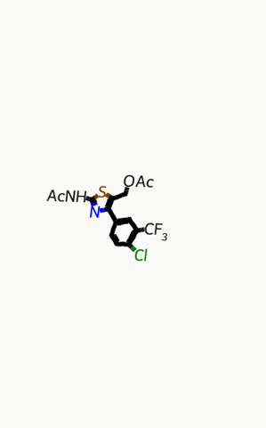 CC(=O)Nc1nc(-c2ccc(Cl)c(C(F)(F)F)c2)c(COC(C)=O)s1